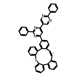 C1=C\c2ccc(-c3cc(-c4cnc(-c5ccccc5)nc4)nc(-c4ccccc4)n3)cc2-c2ccccc2Sc2ccccc2-c2ccccc2/1